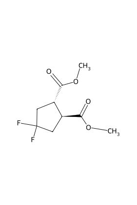 COC(=O)[C@H]1CC(F)(F)C[C@@H]1C(=O)OC